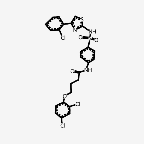 O=C(CCCOc1ccc(Cl)cc1Cl)Nc1ccc(S(=O)(=O)Nc2nc(-c3ccccc3Cl)cs2)cc1